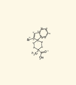 NC1(C(=O)O)CCC2(CC1)C(Br)=Cc1ccccc12